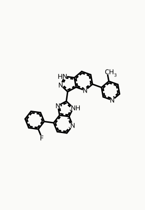 Cc1ccncc1-c1ccc2[nH]nc(-c3nc4c(-c5ccccc5F)ccnc4[nH]3)c2n1